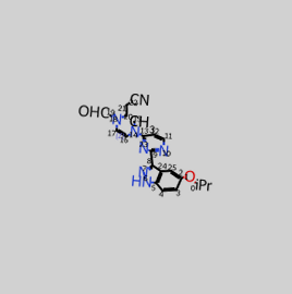 CC(C)Oc1ccc2[nH]nc(-c3nccc(N(C)/C=C\N(C=O)CCC#N)n3)c2c1